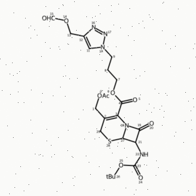 CC(=O)OCC1=C(C(=O)OCCCn2cc(COC=O)nn2)N2C(=O)C(NC(=O)OC(C)(C)C)C2SC1